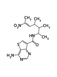 C/C(=C\C(C)C(C)C(C)NC(=O)c1csc2c(N)ncnc12)[N+](=O)[O-]